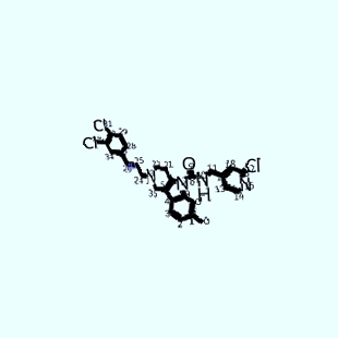 Cc1ccc2c3c(n(C(=O)NCc4ccnc(Cl)c4)c2c1)CCN(C/C=C/c1ccc(Cl)c(Cl)c1)C3